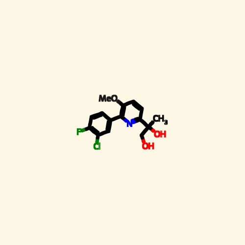 COc1ccc(C(C)(O)CO)nc1-c1ccc(F)c(Cl)c1